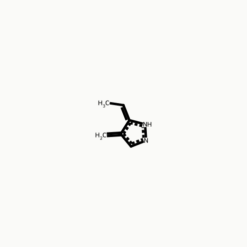 C=c1cn[nH]/c1=C/C